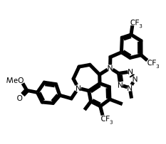 COC(=O)c1ccc(CN2CCCC(N(Cc3cc(C(F)(F)F)cc(C(F)(F)F)c3)c3nnn(C)n3)c3cc(C)c(C(F)(F)F)c(C)c32)cc1